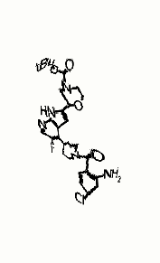 CC(C)(C)OC(=O)N1CCOC(c2cc3c(C4CCN(C(=O)c5ccc(Cl)cc5N)CC4)c(F)cnc3[nH]2)C1